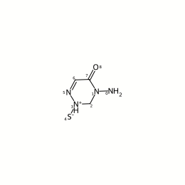 NN1C[NH+]([S-])N=CC1=O